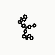 c1ccc(-c2ccc(N(c3ccc(-c4cccc5oc6c7ccccc7ccc6c45)cc3)c3ccc(-c4cccc5oc6c7ccccc7ccc6c45)cc3)cc2)cc1